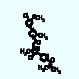 COc1cc(N2CCN(C(=O)Cn3nc(-c4ccc(C(=O)N(C)C)nc4)c(Cl)c3C)[C@@H](C)C2)ccc1Cl